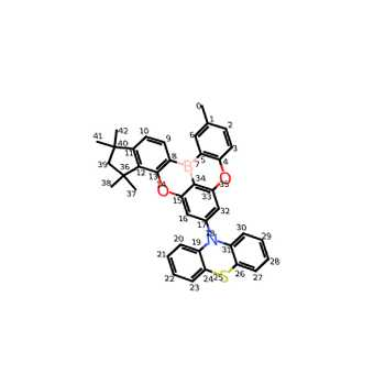 Cc1ccc2c(c1)B1c3ccc4c(c3Oc3cc(N5c6ccccc6Sc6ccccc65)cc(c31)O2)C(C)(C)CC4(C)C